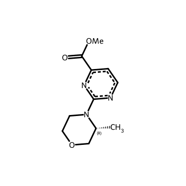 COC(=O)c1ccnc(N2CCOC[C@H]2C)n1